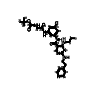 CCCNc1nc(NCCc2ccncc2)ncc1C(=O)Nc1cc(Cl)cc(NC(=O)CNC(=O)OC(C)(C)C)c1